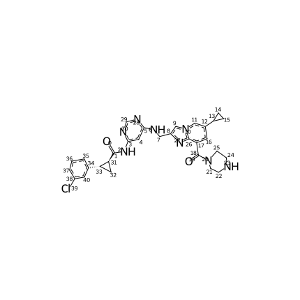 O=C(Nc1cc(NCc2cn3cc(C4CC4)cc(C(=O)N4CCNCC4)c3n2)ncn1)[C@H]1C[C@@H]1c1cccc(Cl)c1